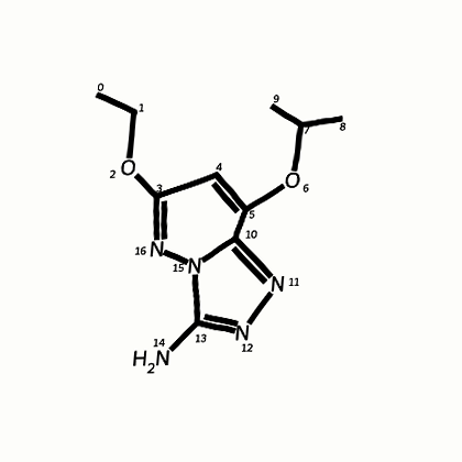 CCOc1cc(OC(C)C)c2nnc(N)n2n1